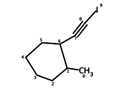 CC1CCCCC1C#CI